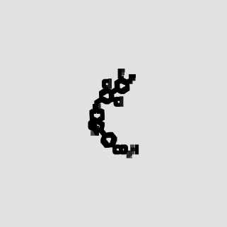 O=C(O)c1ccc(C2=NOC3(CCN(Cc4cc(Cl)c(-c5ccc(F)c(F)c5)c(Cl)c4)CC3)C2)cc1